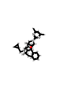 Cc1cc(C)nc(N2C[C@H]3O[C@@]45CCC2C3[C@@]42CCN(CC3CC3)[C@@H]5Cc3ccccc32)n1